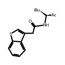 CC[C@H](C)[C@H](NC(=O)Cc1csc2ccccc12)C(C)=O